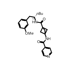 CCCC[C@@H](Cc1cccc(OC)c1)NC(=O)C12CC(NC(=O)c3ccncc3)(C1)C2